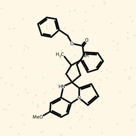 COc1ccc2c(c1)NC(CCNC(=O)OCc1ccccc1)(CC(C)c1ccccc1)c1cccn1-2